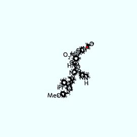 COc1ccc(CN2CCN(C3CC4(C3)CN(c3cc(Oc5cnc6[nH]ccc6c5)c(C(=O)NS(=O)(=O)c5ccc(NCC6(F)CCN(C7CC(=O)C7)CC6)c([N+](=O)[O-])c5)cn3)C4)C(c3ccccc3C(C)C)C2)cc1